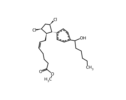 CCCCCC(O)c1ccc([C@@H]2[C@@H](C/C=C\CCCC(=O)OC)[C@@H](Cl)C[C@H]2Cl)cc1